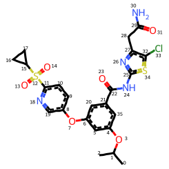 CC(C)Oc1cc(Oc2ccc(S(=O)(=O)C3CC3)nc2)cc(C(=O)Nc2nc(CC(N)=O)c(Cl)s2)c1